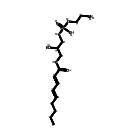 CCCCC=CC=CC(=O)OCC(O)COP(=O)(O)OCCN